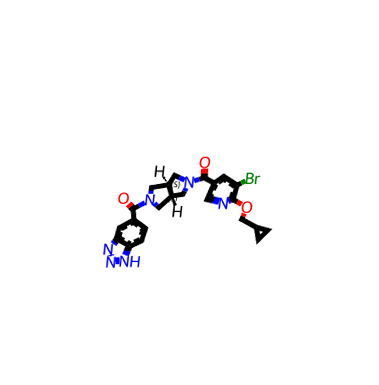 O=C(c1cnc(OCC2CC2)c(Br)c1)N1C[C@@H]2CN(C(=O)c3ccc4[nH]nnc4c3)C[C@H]2C1